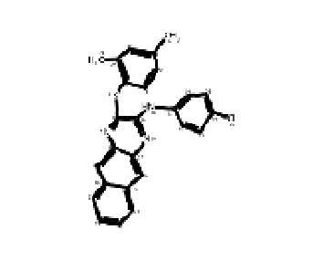 Cc1ccc(Sc2nc3cc4ccccc4cc3nc2Nc2ccc(Cl)cc2)c(C)c1